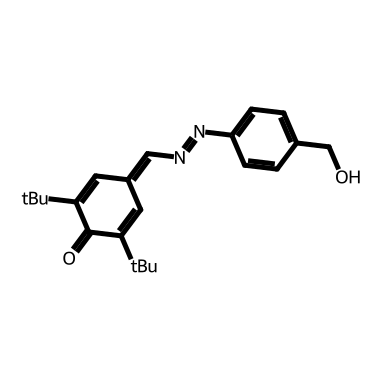 CC(C)(C)C1=CC(=CN=Nc2ccc(CO)cc2)C=C(C(C)(C)C)C1=O